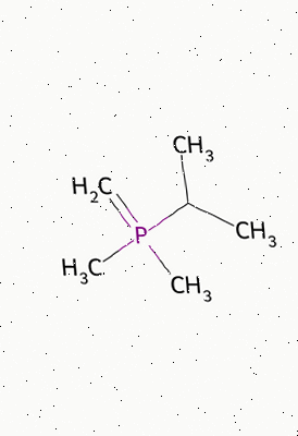 C=P(C)(C)C(C)C